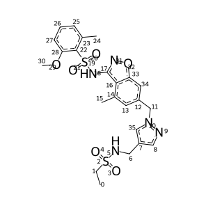 CCS(=O)(=O)NCc1cnn(Cc2cc(C)c3c(NS(=O)(=O)c4c(C)cccc4OC)noc3c2)c1